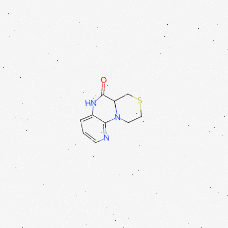 O=C1Nc2cccnc2N2CCSCC12